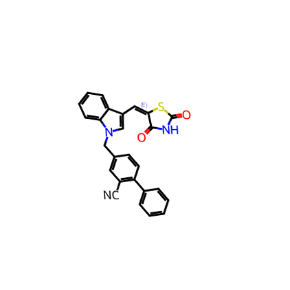 N#Cc1cc(Cn2cc(/C=C3/SC(=O)NC3=O)c3ccccc32)ccc1-c1ccccc1